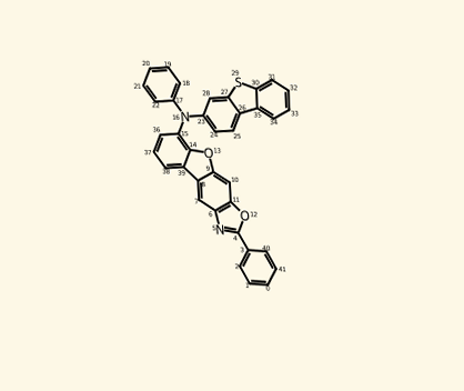 c1ccc(-c2nc3cc4c(cc3o2)oc2c(N(c3ccccc3)c3ccc5c(c3)sc3ccccc35)cccc24)cc1